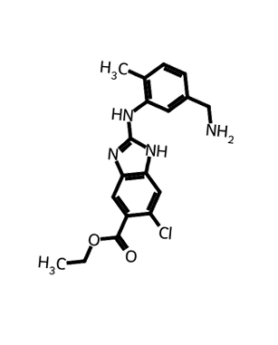 CCOC(=O)c1cc2nc(Nc3cc(CN)ccc3C)[nH]c2cc1Cl